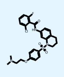 CN(C)CCOc1ccc(S(=O)(=O)N2CCCc3ccc(NC(=O)c4c(F)cccc4Cl)cc32)cc1